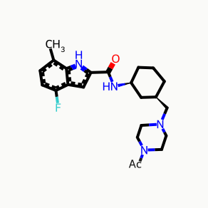 CC(=O)N1CCN(C[C@@H]2CCC[C@H](NC(=O)c3cc4c(F)ccc(C)c4[nH]3)C2)CC1